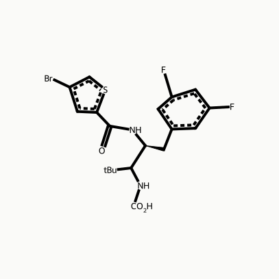 CC(C)(C)C(NC(=O)O)[C@H](Cc1cc(F)cc(F)c1)NC(=O)c1cc(Br)cs1